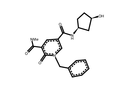 CNC(=O)c1cc(C(=O)N[C@H]2CC[C@@H](O)C2)cn(Cc2ccccc2)c1=O